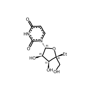 CC[C@]1(CO)O[C@@H](n2ccc(=O)[nH]c2=O)[C@H](O)[C@@H]1O